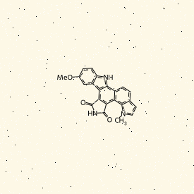 COc1ccc2[nH]c3c4ccc5ccn(C)c5c4c4c(c3c2c1)C(=O)NC4=O